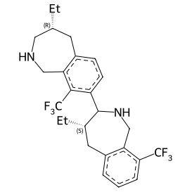 CC[C@H]1CNCc2c(ccc(C3NCc4c(cccc4C(F)(F)F)C[C@@H]3CC)c2C(F)(F)F)C1